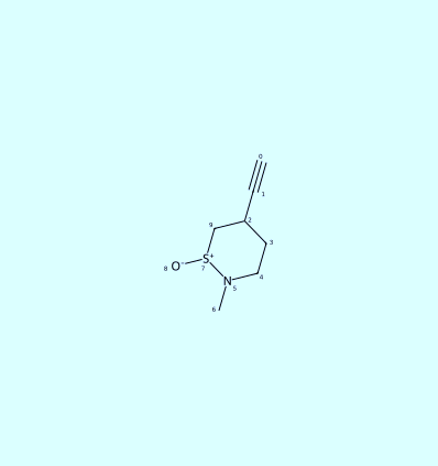 C#CC1CCN(C)[S+]([O-])C1